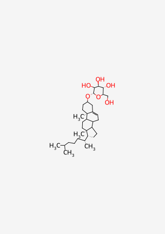 CC(C)CCC[C@@H](C)[C@H]1CCC2C3CC=C4CC(O[C@H]5OC(CO)[C@@H](O)[C@H](O)C5O)CC[C@]4(C)C3CC[C@@]21C